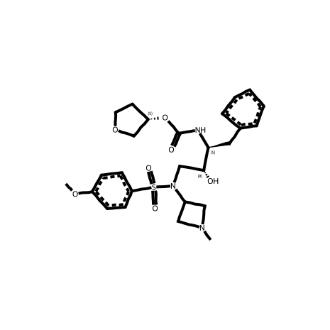 COc1ccc(S(=O)(=O)N(C[C@@H](O)[C@H](Cc2ccccc2)NC(=O)O[C@H]2CCOC2)C2CN(C)C2)cc1